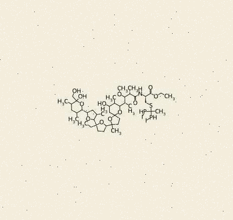 CCOC(=O)[C@@H](CSC(C)(PI)PI)NC(=O)C(C)C(OC)C(C)C1OC2(CCC(C)(C3CCC(CC)(C4OC(C5OC(O)(CO)C(C)CC5C)CC4C)O3)O2)CC(O)C1C